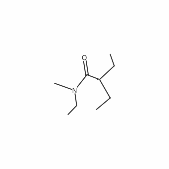 CC[C](CC)C(=O)N(C)CC